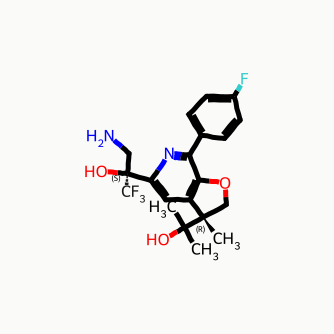 CC(C)(O)[C@@]1(C)COc2c1cc([C@@](O)(CN)C(F)(F)F)nc2-c1ccc(F)cc1